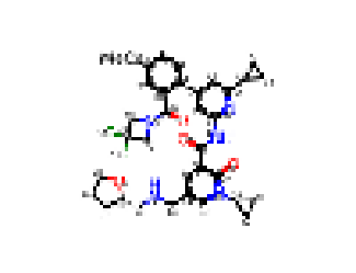 COc1ccc(-c2cc(NC(=O)c3cc(CNC[C@@H]4CCCO4)cn(C4CC4)c3=O)nc(C3CC3)c2)c(C(=O)N2CC(F)(F)C2)c1